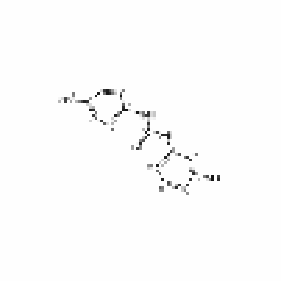 CCCc1ccc(NC(=O)Nc2cccc(CC)c2)cc1